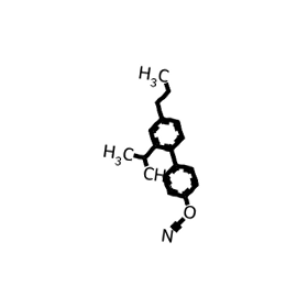 CCCc1ccc(-c2ccc(OC#N)cc2)c(C(C)C)c1